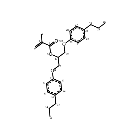 C=C(C)C(=O)OC(COc1ccc(CCC)cc1)COc1ccc(CCC)cc1